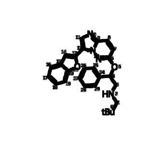 CC(C)(C)CNCC(Oc1ccc2ncc(-c3cc4ccccc4o3)n2n1)c1ccccc1